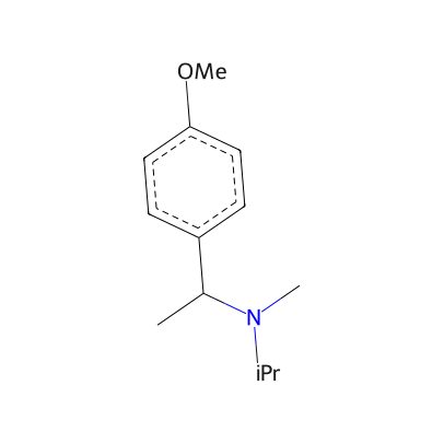 COc1ccc(C(C)N(C)C(C)C)cc1